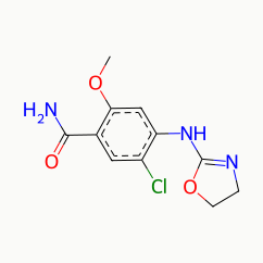 COc1cc(NC2=NCCO2)c(Cl)cc1C(N)=O